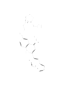 OC[C@@H]1CCCN1CCOc1ccc2oc(-c3cc4cccn4cn3)c/c(=N/O)c2c1